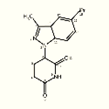 CC1=NN(C2CCC(=O)NC2=O)C2C=CC(C(C)C)=CC12